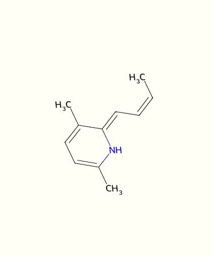 C/C=C\C=C1/NC(C)=CC=C1C